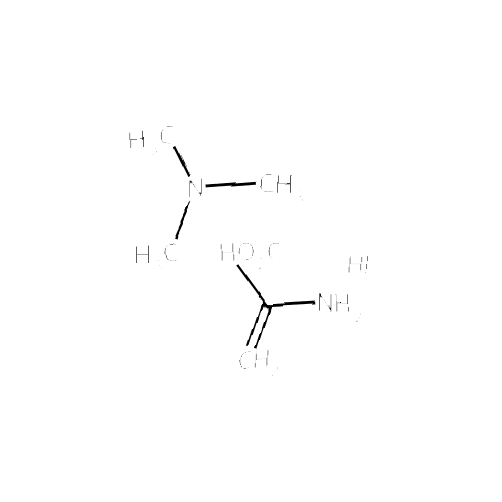 C=C(N)C(=O)O.CN(C)C.I